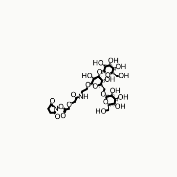 O=C(COCC(=O)ON1C(=O)CCC1=O)NCCO[C@@H]1O[C@H](CO[C@H]2O[C@H](CO)[C@@H](O)[C@H](O)[C@@H]2O)[C@@H](O)[C@H](O[C@H]2O[C@H](CO)[C@@H](O)[C@H](O)[C@@H]2O)[C@@H]1O